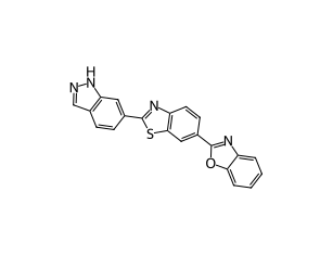 c1ccc2oc(-c3ccc4nc(-c5ccc6cn[nH]c6c5)sc4c3)nc2c1